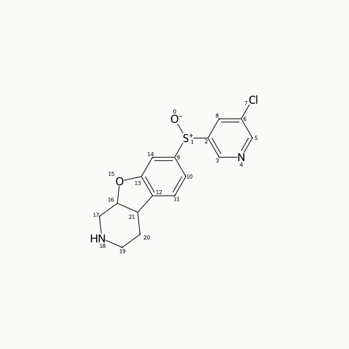 [O-][S+](c1cncc(Cl)c1)c1ccc2c(c1)OC1CNCCC21